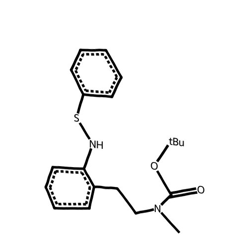 CN(CCc1ccccc1NSc1ccccc1)C(=O)OC(C)(C)C